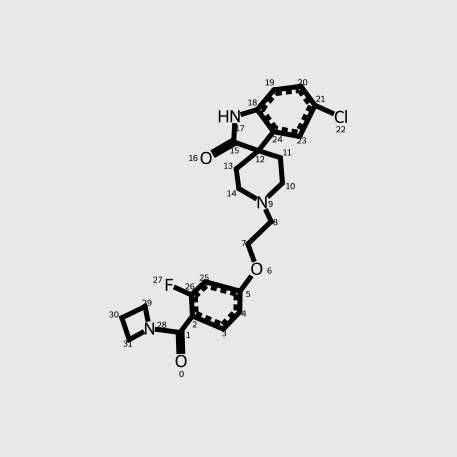 O=C(c1ccc(OCCN2CCC3(CC2)C(=O)Nc2ccc(Cl)cc23)cc1F)N1CCC1